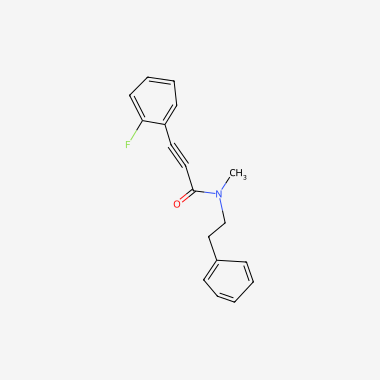 CN(CCc1ccccc1)C(=O)C#Cc1ccccc1F